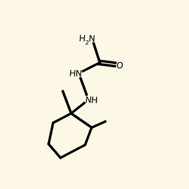 CC1CCCCC1(C)NNC(N)=O